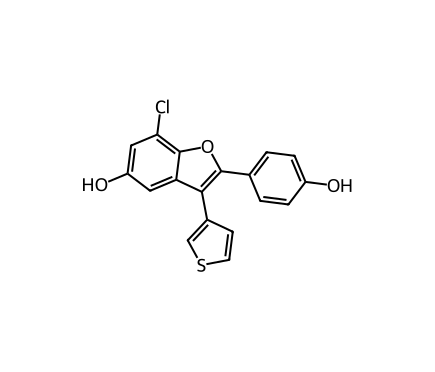 Oc1ccc(-c2oc3c(Cl)cc(O)cc3c2-c2ccsc2)cc1